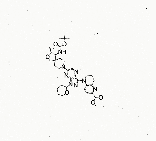 COC(=O)c1ccc2c(n1)CCCN2c1nn(C2CCCCO2)c2nc(N3CCC4(CC3)CO[C@@H](C)[C@H]4NC(=O)OC(C)(C)C)cnc12